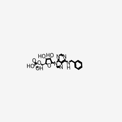 O=P(O)(O)OC[C@@H]1OC(n2cnc3c(NCc4ccccc4)ncnc32)[C@@H](O)[C@H]1O